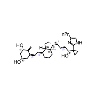 C=C1/C(=C\C=C2/CCC[C@]3(C)[C@@H]([C@H](C)/C=C/[C@@H](O)C4(c5nc(CCC)c[nH]5)CC4)CC[C@@H]23)C[C@@H](O)C[C@@H]1O